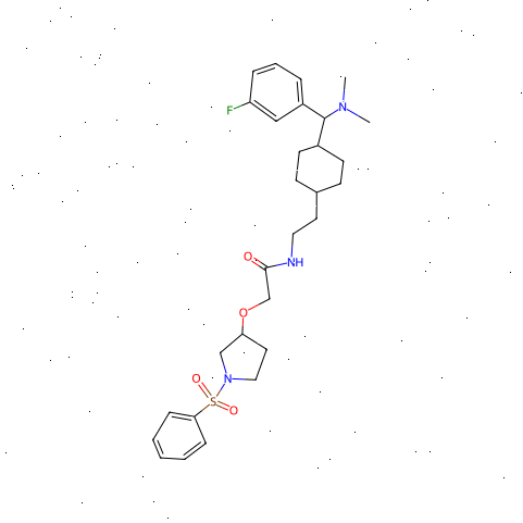 CN(C)C(c1cccc(F)c1)C1CCC(CCNC(=O)COC2CCN(S(=O)(=O)c3ccccc3)C2)CC1